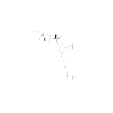 CCCCCCCCCCC(N)COP(=O)(O)OCCC(=O)O